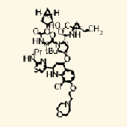 C=C[C@@H]1C[C@]1(NC(=O)[C@@H]1C[C@@H](OC2=CC(c3csc(NC(C)C)n3)Nc3c2ccc(OCCN2CCOCC2)c3Cl)CN1C(=O)[C@@H](NC(=O)O[C@@H]1C[C@@H]2C[C@@H]2C1)C(C)(C)C)C(=O)O